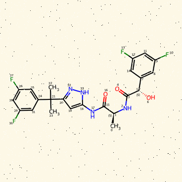 C[C@H](NC(=O)[C@@H](O)c1cc(F)cc(F)c1)C(=O)Nc1cc(C(C)(C)c2cc(F)cc(F)c2)n[nH]1